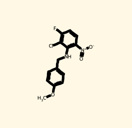 COc1ccc(CNc2c([N+](=O)[O-])ccc(F)c2Cl)cc1